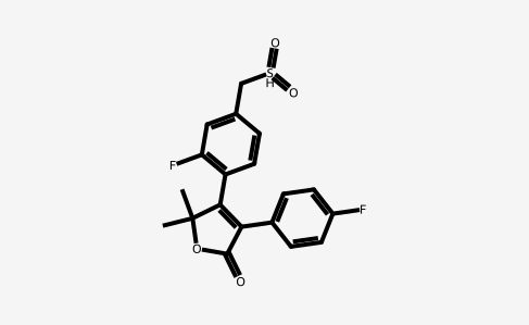 CC1(C)OC(=O)C(c2ccc(F)cc2)=C1c1ccc(C[SH](=O)=O)cc1F